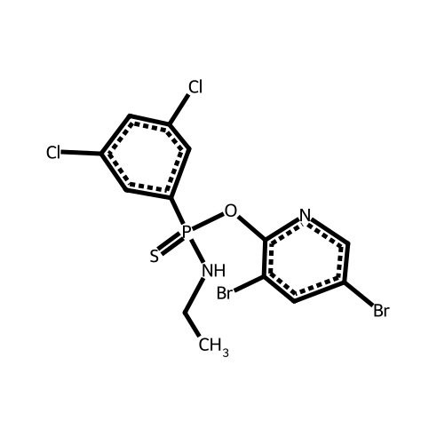 CCNP(=S)(Oc1ncc(Br)cc1Br)c1cc(Cl)cc(Cl)c1